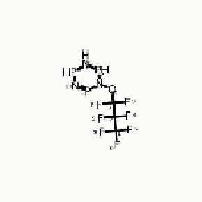 FC(F)(F)C(F)(F)C(F)(F)On1pn[pH][nH][pH]1